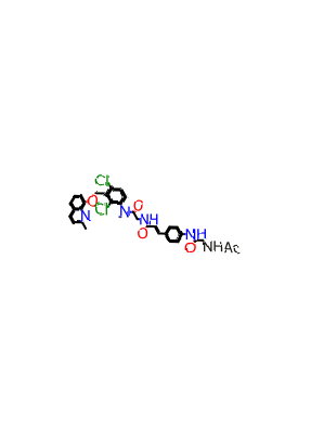 CC(=O)NCC(=O)Nc1ccc(/C=C/C(=O)NCC(=O)N(C)c2ccc(Cl)c(COc3cccc4ccc(C)nc34)c2Cl)cc1